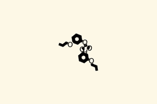 CCCOc1cccc(O[PH](=O)Oc2cccc(OCCC)c2)c1